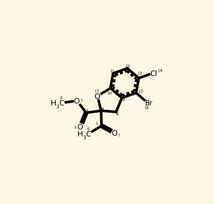 COC(=O)C1(C(C)=O)Cc2c(ccc(Cl)c2Br)O1